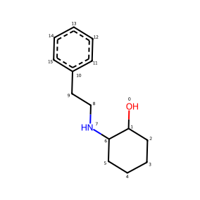 OC1CCCCC1NCCc1ccccc1